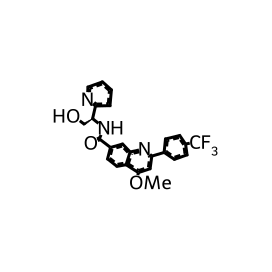 COc1cc(-c2ccc(C(F)(F)F)cc2)nc2cc(C(=O)N[C@@H](CO)c3ccccn3)ccc12